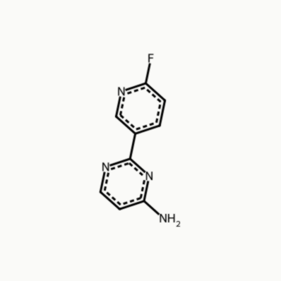 Nc1ccnc(-c2ccc(F)nc2)n1